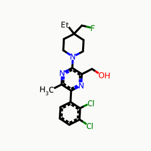 CCC1(CF)CCN(c2nc(C)c(-c3cccc(Cl)c3Cl)nc2CO)CC1